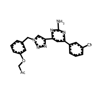 CC(=O)COc1cccc(Cn2cc(-c3cc(-c4cccc(C#N)c4)nc(N)n3)nn2)c1